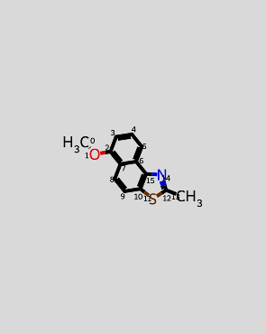 COc1cccc2c1ccc1sc(C)nc12